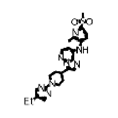 CCc1cnc(N2CCC(c3cnc4c(Nc5ccc(S(C)(=O)=O)nc5C)ccnn34)CC2)nc1